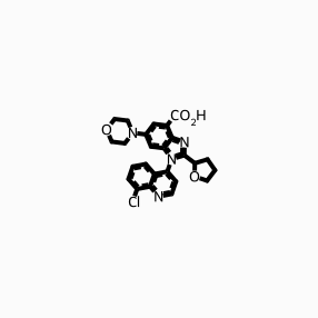 O=C(O)c1cc(N2CCOCC2)cc2c1nc(C1CCCO1)n2-c1ccnc2c(Cl)cccc12